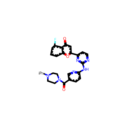 CC(C)N1CCN(C(=O)c2ccc(Nc3nccc(-c4cc(=O)c5c(F)cccc5o4)n3)nc2)CC1